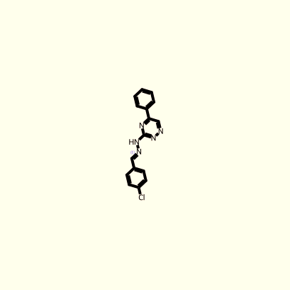 Clc1ccc(/C=N/Nc2nncc(-c3ccccc3)n2)cc1